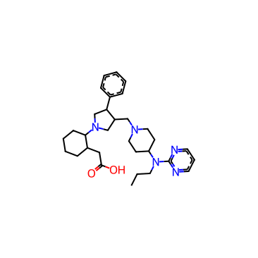 CCCN(c1ncccn1)C1CCN(CC2CN(C3CCCCC3CC(=O)O)CC2c2ccccc2)CC1